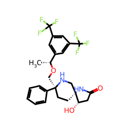 C[C@@H](OC[C@@]1(c2ccccc2)CC[C@]2(CN1)NC(=O)C[C@@H]2O)c1cc(C(F)(F)F)cc(C(F)(F)F)c1